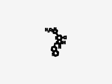 Cn1cc(-c2cc(Cl)c3c(n2)N(Cc2ccc4ncccc4c2)NN3)cn1